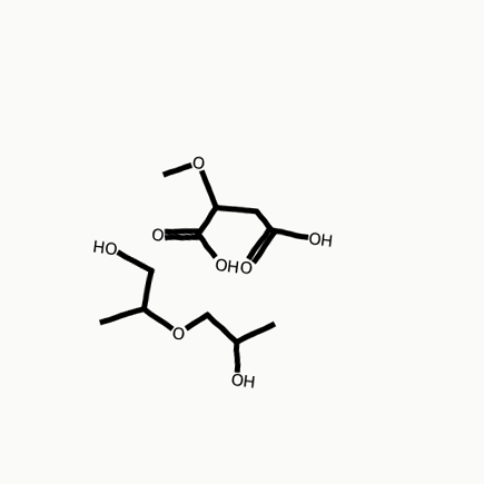 CC(O)COC(C)CO.COC(CC(=O)O)C(=O)O